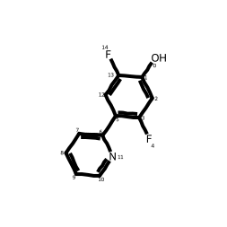 Oc1cc(F)c(-c2ccccn2)cc1F